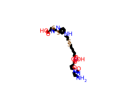 Nc1ccn(C2CC[C@@H](COP(=O)(O)OCCCCCCSSCCCNc3ccc4nc(C5=N[C@@H](C(=O)O)CS5)sc4c3)O2)c(=O)n1